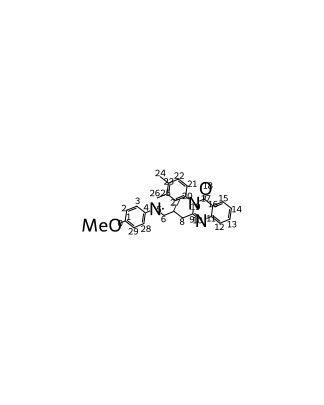 COc1ccc([N]CCCc2nc3ccccc3c(=O)n2-c2ccc(C)c(C)c2)cc1